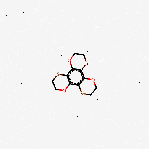 C1CSc2c(c3c(c4c2OCCS4)OCCS3)O1